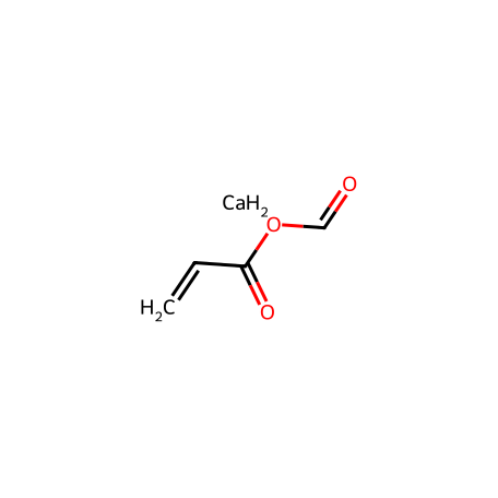 C=CC(=O)OC=O.[CaH2]